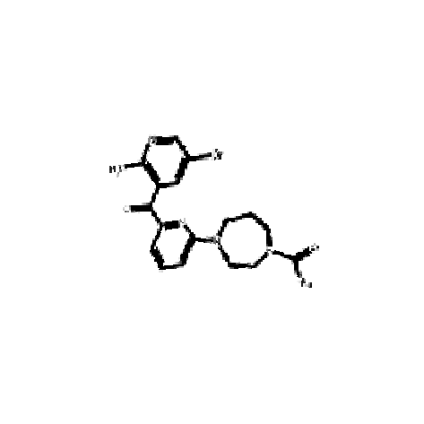 Cc1ncc(Br)cc1C(=O)c1cccc(N2CCCN(C(=O)C(C)(C)C)CC2)n1